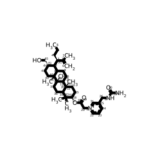 C=C(C)[C@H](CCC)C1C2CCC3[C@@]4(C)CC[C@H](OC(=O)C[n+]5cccc(CNC(N)=O)c5)C(C)(C)C4CC[C@@]3(C)[C@]2(C)CC[C@@H]1CO